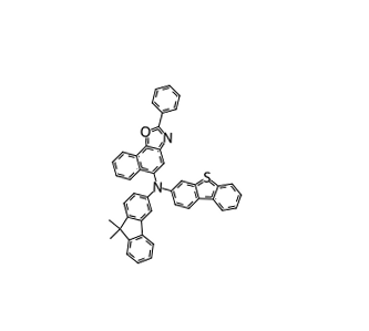 CC1(C)c2ccccc2-c2cc(N(c3ccc4c(c3)sc3ccccc34)c3cc4nc(-c5ccccc5)oc4c4ccccc34)ccc21